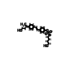 CN(CCO)c1ccc(/C=C/c2ccc(OS(=O)(=O)OCCCCO)cc2)cc1